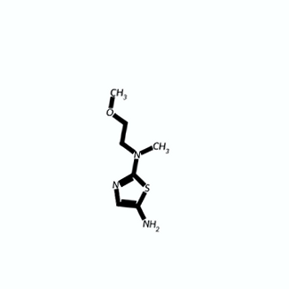 COCCN(C)c1ncc(N)s1